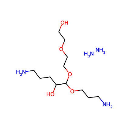 N.N.NCCCOC(OCCOCCO)C(O)CCCN